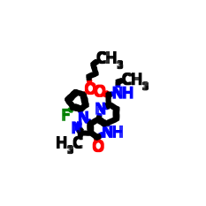 CCCCOc1ccc(F)c(-n2nc(C)c3c(=O)[nH]c4ccc(C(=O)NCC)nc4c32)c1